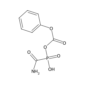 NC(=O)P(=O)(O)OC(=O)Oc1ccccc1